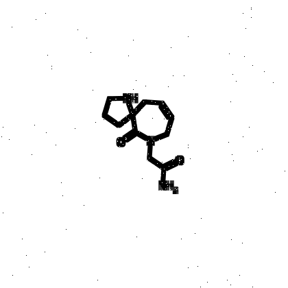 NC(=O)CN1CC=CCC2(CCCN2)C1=O